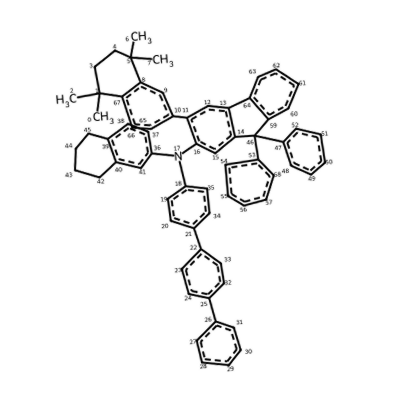 CC1(C)CCC(C)(C)c2cc(-c3cc4c(cc3N(c3ccc(-c5ccc(-c6ccccc6)cc5)cc3)c3ccc5c(c3)CCCC5)C(c3ccccc3)(c3ccccc3)c3ccccc3-4)ccc21